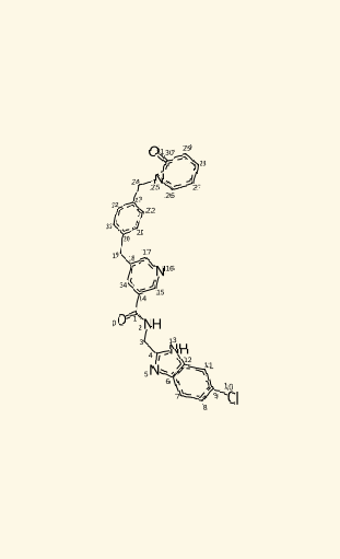 O=C(NCc1nc2ccc(Cl)cc2[nH]1)c1cncc(Cc2ccc(Cn3ccccc3=O)cc2)c1